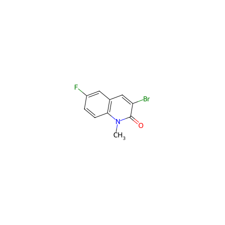 Cn1c(=O)c(Br)cc2cc(F)ccc21